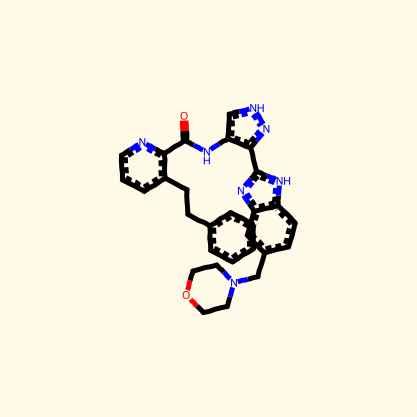 O=C(Nc1c[nH]nc1-c1nc2cc(CN3CCOCC3)ccc2[nH]1)c1ncccc1CCc1ccccc1